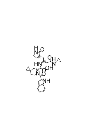 O=C(NC1CC1)C(O)[C@H](C[C@@H]1CCNC1=O)NC(=O)[C@@H]1CC2(CCN1C(=O)c1cc3ccccc3[nH]1)CC2